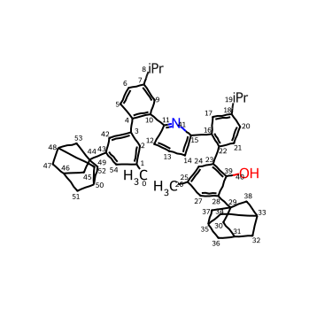 Cc1cc(-c2ccc(C(C)C)cc2-c2cccc(-c3cc(C(C)C)ccc3-c3cc(C)cc(C45CC6CC(CC(C6)C4)C5)c3O)n2)cc(C23CC4CC(CC(C4)C2)C3)c1